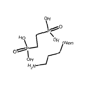 CCCCCCCCCCCCN.O=P(O)(O)CCP(=O)(O)O